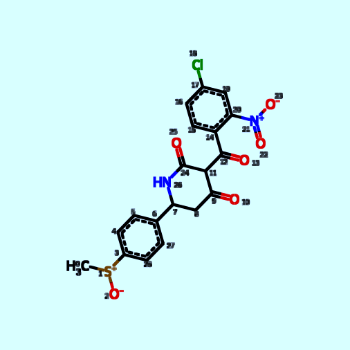 C[S+]([O-])c1ccc(C2CC(=O)C(C(=O)c3ccc(Cl)cc3[N+](=O)[O-])C(=O)N2)cc1